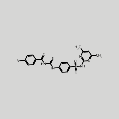 Cc1cc(C)nc(NS(=O)(=O)c2ccc(NC(=S)NC(=O)c3ccc(Br)cc3)cc2)n1